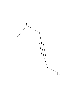 CC(C)CC#CCN